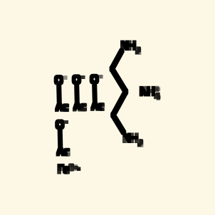 CC(=O)[O-].CC(=O)[O-].CC(=O)[O-].CC(=O)[O-].NCCCN.[Fe+3].[NH4+]